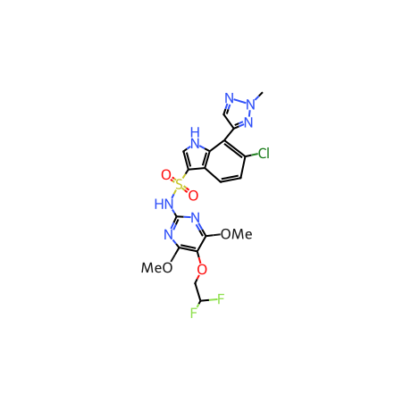 COc1nc(NS(=O)(=O)c2c[nH]c3c(-c4cnn(C)n4)c(Cl)ccc23)nc(OC)c1OCC(F)F